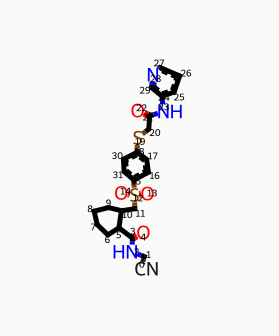 N#CCNC(=O)C1CCCCC1CS(=O)(=O)c1ccc(SCC(=O)Nc2cccnc2)cc1